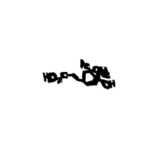 CC(=O)C1(O)C=CC(/C=C/C(=O)O)=CC1(O)C(C)=O